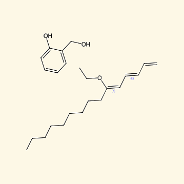 C=C/C=C/C=C(/CCCCCCCCC)OCC.OCc1ccccc1O